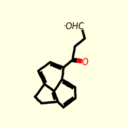 O=[C]CCC(=O)c1ccc2c3c(cccc13)CC2